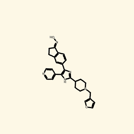 ON=C1CCc2cc(-c3nc(C4CCN(Cc5ccoc5)CC4)[nH]c3-c3ccncc3)ccc21